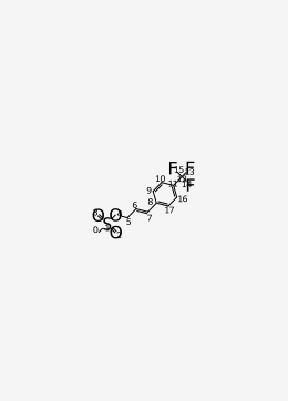 CS(=O)(=O)OCC=Cc1ccc(C(F)(F)F)cc1